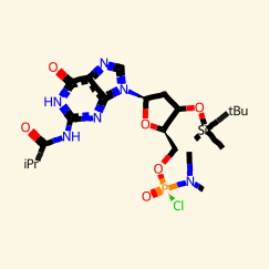 CC(C)C(=O)Nc1nc2c(ncn2[C@H]2CC(O[Si](C)(C)C(C)(C)C)[C@@H](CO[P@](=O)(Cl)N(C)C)O2)c(=O)[nH]1